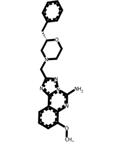 COc1cccc2c1nc(N)n1nc(CN3CCO[C@@H](Cc4ccccc4)C3)nc21